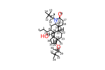 CCC(O)C1CC2N([Si](C)(C)C(C)(C)C)C(=O)CC[C@]2(C)[C@@H]2CC[C@]3(C)C(O[Si](C)(C)C(C)(C)C)CC[C@H]3[C@H]12